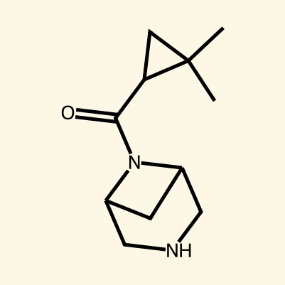 CC1(C)CC1C(=O)N1C2CNCC1C2